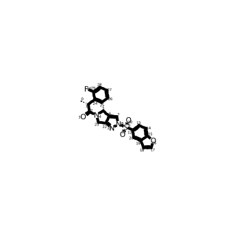 C[C@@H](C(=O)N1Cc2cn(S(=O)(=O)c3ccc4occc4c3)nc2C1)c1ccccc1F